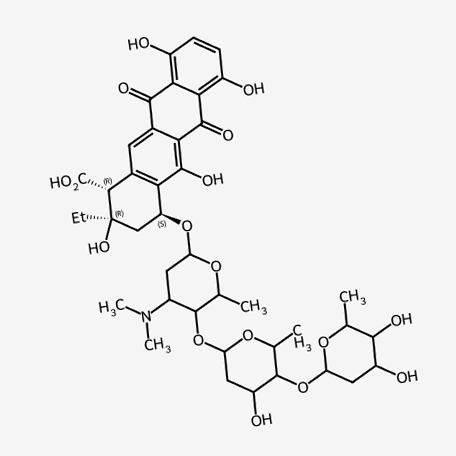 CC[C@@]1(O)C[C@H](OC2CC(N(C)C)C(OC3CC(O)C(OC4CC(O)C(O)C(C)O4)C(C)O3)C(C)O2)c2c(cc3c(c2O)C(=O)c2c(O)ccc(O)c2C3=O)[C@H]1C(=O)O